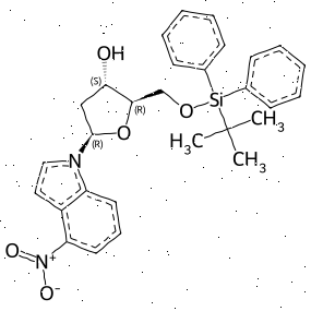 CC(C)(C)[Si](OC[C@H]1O[C@@H](n2ccc3c([N+](=O)[O-])cccc32)C[C@@H]1O)(c1ccccc1)c1ccccc1